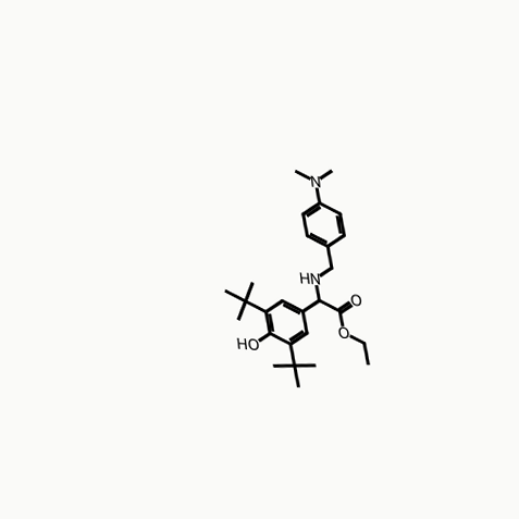 CCOC(=O)C(NCc1ccc(N(C)C)cc1)c1cc(C(C)(C)C)c(O)c(C(C)(C)C)c1